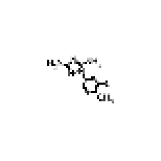 Cc1ccc(-n2nc(N)nc2N)cc1Cl